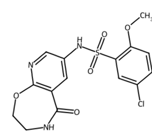 COc1ccc(Cl)cc1S(=O)(=O)Nc1cnc2c(c1)C(=O)NCCO2